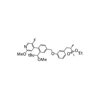 CCOP(C)(=O)[C@H](C)Cc1cccc(OCc2ccc(-c3cc(OC)ncc3F)c([C@@H](OC)C(C)(C)C)c2)c1